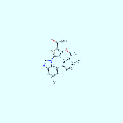 COC(=O)c1sc(-n2cnc3cc(C(C)=O)ccc32)cc1O[C@H](C)c1ccccc1C(F)(F)F